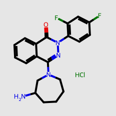 Cl.NC1CCCCN(c2nn(-c3ccc(F)cc3F)c(=O)c3ccccc23)C1